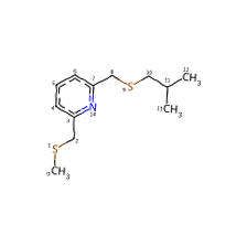 CSCc1cccc(CSCC(C)C)n1